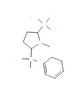 C[Si](C)(C)C1CCC([Si](C)(C)C)N1C[C@H]1C=CC=CC1